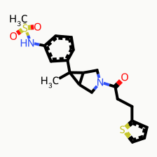 CC1(c2cccc(NS(C)(=O)=O)c2)C2CN(C(=O)CCc3cccs3)CC21